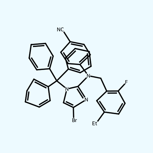 CCc1ccc(F)c(CN(c2ccc(C#N)cc2)c2nc(Br)cn2C(c2ccccc2)(c2ccccc2)c2ccccc2)c1